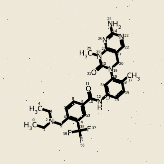 CCN(CC)Cc1ccc(C(=O)Nc2ccc(C)c(N3Cc4cnc(N)nc4N(C)C3=O)c2)cc1C(F)(F)F